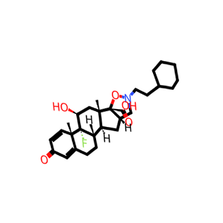 C[C@]12C=CC(=O)C=C1CC[C@H]1[C@@H]3C[C@H]4CN(CCC5CCCCC5)O[C@@]4(C(=O)O)[C@@]3(C)C[C@H](O)[C@@]12F